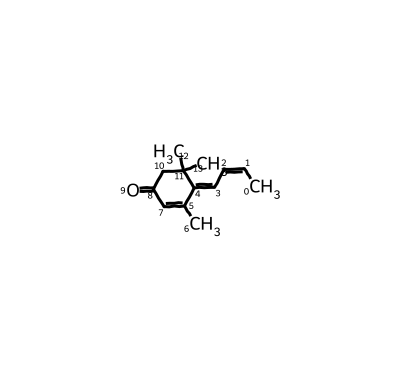 C/C=C\C=C1\C(C)=CC(=O)CC1(C)C